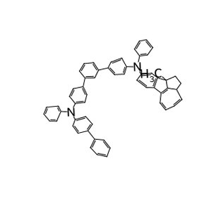 CC12CCC3C=CC=CC(=C31)c1ccc(N(c3ccccc3)c3ccc(-c4cccc(-c5ccc(N(c6ccccc6)c6ccc(-c7ccccc7)cc6)cc5)c4)cc3)cc12